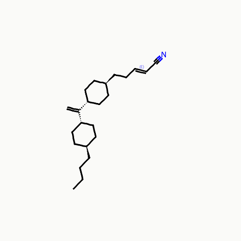 C=C([C@H]1CC[C@H](CC/C=C/C#N)CC1)[C@H]1CC[C@H](CCCC)CC1